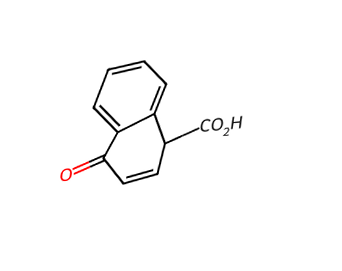 O=C1C=CC(C(=O)O)c2ccccc21